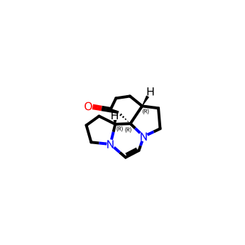 O=C1CC[C@@H]2CCN3C=CN4CCC[C@@H]4[C@@]23C1